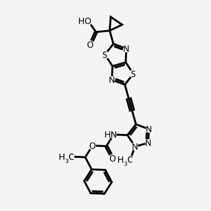 CC(OC(=O)Nc1c(C#Cc2nc3sc(C4(C(=O)O)CC4)nc3s2)nnn1C)c1ccccc1